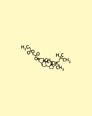 C=CC(=O)OCC(=O)O[C@H]1CC[C@@]2(C)C(=CCC3C4CCC(C(C)CCCC(C)C)[C@@]4(C)CCC32)C1